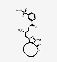 CCc1nn(C[C@@H](C)COC(=O)c2cccc(S(=O)(=O)NC)c2)c2c1C(=O)NCCCOCCC2